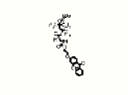 CC(CC(C)(C)OOC(C)(C)C)OC(=O)NNC(=O)OCCOc1ccc(C(=O)c2ccccc2)c(O)c1